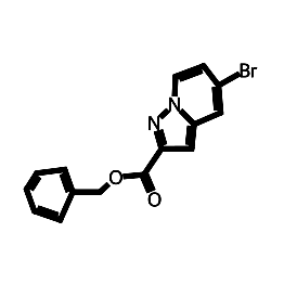 O=C(OCc1ccccc1)c1cc2cc(Br)ccn2n1